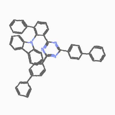 c1ccc(-c2ccc(-c3nc(-c4ccc(-c5ccccc5)cc4)nc(-c4cccc(-c5ccccc5)c4-n4c5ccccc5c5ccccc54)n3)cc2)cc1